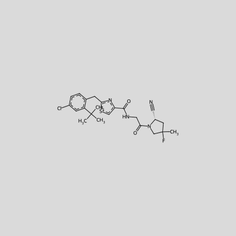 CC1(F)C[C@@H](C#N)N(C(=O)CNC(=O)c2csc(Cc3ccc(Cl)cc3C(C)(C)C)n2)C1